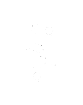 CC(C)(N)C(=O)N[C@H](CCCc1ccccc1)C(=O)NC(=O)CC1CC2(CCNCC2)c2ccccc21.Cl